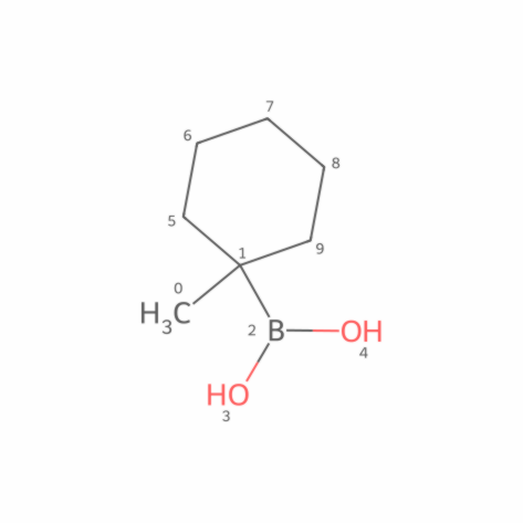 CC1(B(O)O)CCCCC1